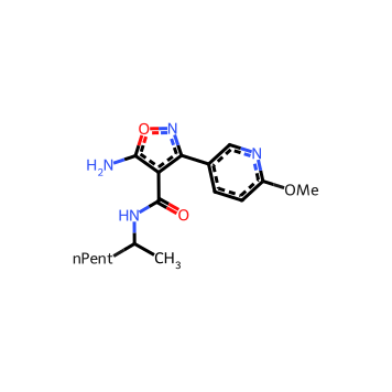 CCCCCC(C)NC(=O)c1c(-c2ccc(OC)nc2)noc1N